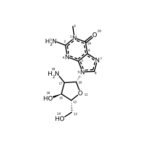 Cn1c(N)nc2c(ncn2[C@@H]2O[C@H](CO)[C@@H](O)C2N)c1=O